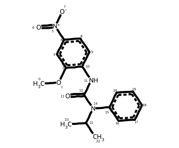 COc1cc([N+](=O)[O-])ccc1NC(=O)N(c1ccccc1)C(C)C